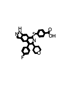 O=C(O)c1ccc(Sc2nc(C3CCOCC3)c(-c3ccc(F)cc3)c3cc4cn[nH]c4cc23)cc1